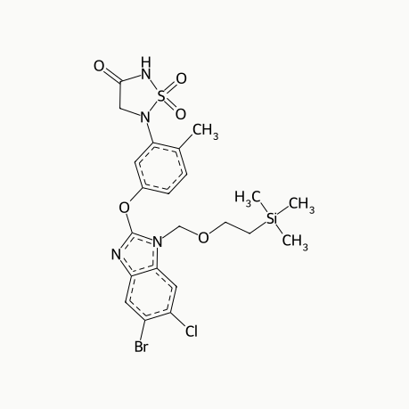 Cc1ccc(Oc2nc3cc(Br)c(Cl)cc3n2COCC[Si](C)(C)C)cc1N1CC(=O)NS1(=O)=O